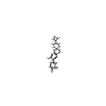 Cc1cc2c(cc1-c1ccc(=O)n(C)n1)COC1(CCN(C3CCC3)CC1)O2